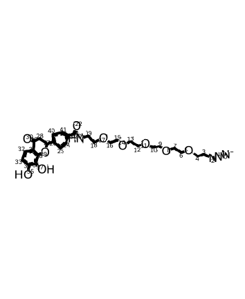 [N-]=[N+]=NCCOCCOCCOCCOCCOCCNC(=O)c1ccc(C2CC(=O)c3ccc(O)c(O)c3O2)cc1